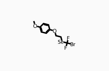 COc1ccc(OCC[Se]C(F)(F)Br)cc1